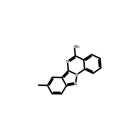 Cc1ccc2nn3c4ccccc4c(C(C)(C)C)nc3c2c1